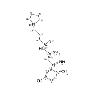 Cc1ccc(Cl)cc1C(=N)/C=C(\N)NC(=O)CCCN1CCCC1